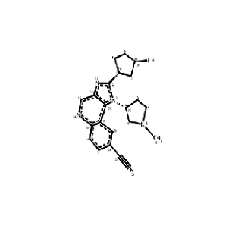 CN1CC[C@@H](n2c([C@H]3CC[C@@H](F)C3)nc3cnc4ccc(C#N)cc4c32)C1